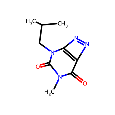 CC(C)Cn1c2c(c(=O)n(C)c1=O)N=N2